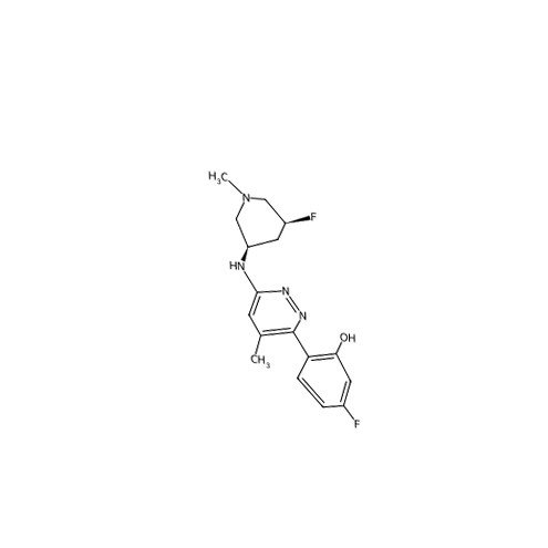 Cc1cc(N[C@@H]2C[C@H](F)CN(C)C2)nnc1-c1ccc(F)cc1O